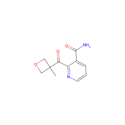 CC1(C(=O)c2ncccc2C(N)=O)COC1